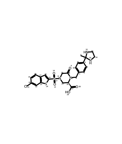 CC1(c2ccc(CN3C(=O)CN(S(=O)(=O)c4cc5ccc(Cl)cc5s4)C[C@@H]3C(=O)O)cc2)NCCN1